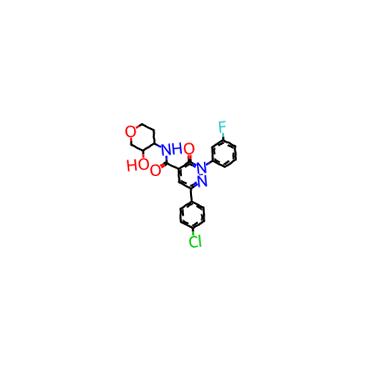 O=C(NC1CCOCC1O)c1cc(-c2ccc(Cl)cc2)nn(-c2cccc(F)c2)c1=O